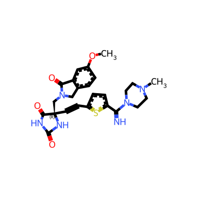 COc1ccc2c(c1)C(=O)N(C[C@@]1(C#Cc3ccc(C(=N)N4CCN(C)CC4)s3)NC(=O)NC1=O)C2